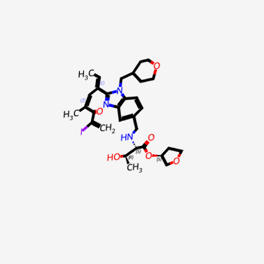 C=C(I)C(=O)/C(C)=C\C(=C/C)c1nc2cc(CN[C@H](C(=O)O[C@H]3CCOC3)[C@@H](C)O)ccc2n1CC1CCOCC1